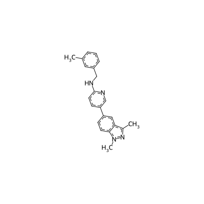 Cc1cccc(CNc2ccc(-c3ccc4c(c3)c(C)nn4C)cn2)c1